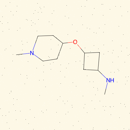 CNC1CC(OC2CCN(C)CC2)C1